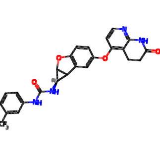 O=C1CCc2c(Oc3ccc4c(c3)C3C(O4)[C@@H]3NC(=O)Nc3cccc(C(F)(F)F)c3)ccnc2N1